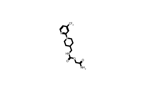 NC(=O)COC(=O)NCC1CCN(c2cc(C(F)(F)F)ccn2)CC1